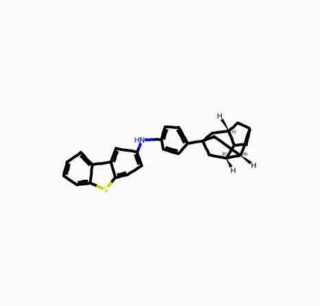 c1ccc2c(c1)sc1ccc(Nc3ccc(C45C[C@@H]6CC7CC6[C@@H](C4)[C@@H]7C5)cc3)cc12